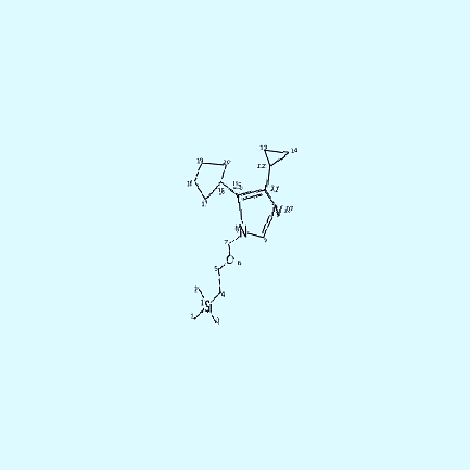 C[Si](C)(C)CCOCn1cnc(C2CC2)c1C1CCCC1